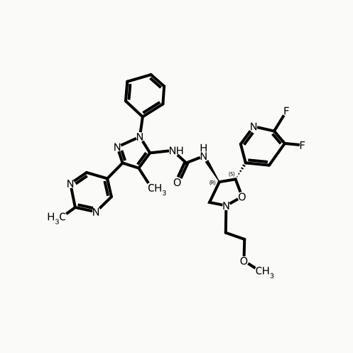 COCCN1C[C@@H](NC(=O)Nc2c(C)c(-c3cnc(C)nc3)nn2-c2ccccc2)[C@H](c2cnc(F)c(F)c2)O1